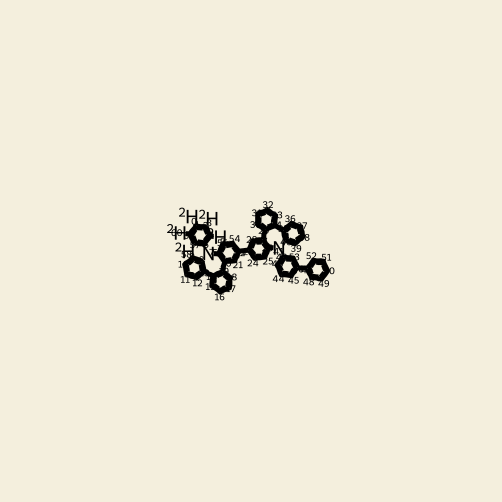 [2H]c1c([2H])c([2H])c(N2c3ccccc3-c3ccccc3-c3cc(-c4ccc5c(c4)-c4ccccc4-c4ccccc4N5c4cccc(-c5ccccc5)c4)ccc32)c([2H])c1[2H]